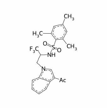 CC(=O)c1cn(CC(NS(=O)(=O)c2c(C)cc(C)cc2C)C(F)(F)F)c2ccccc12